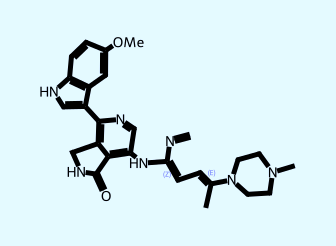 C=N/C(=C\C=C(/C)N1CCN(C)CC1)Nc1cnc(-c2c[nH]c3ccc(OC)cc23)c2c1C(=O)NC2